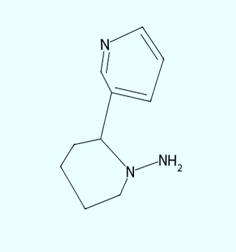 NN1CCCCC1c1cccnc1